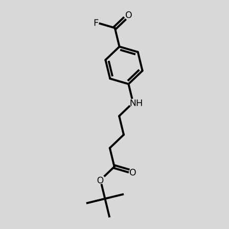 CC(C)(C)OC(=O)CCCNc1ccc(C(=O)F)cc1